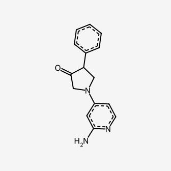 Nc1cc(N2CC(=O)C(c3ccccc3)C2)ccn1